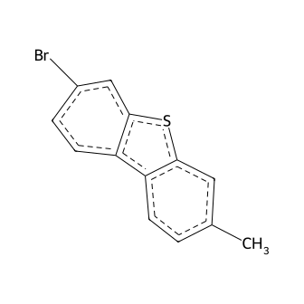 Cc1ccc2c(c1)sc1cc(Br)ccc12